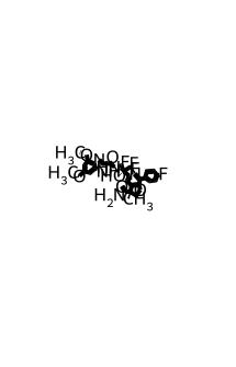 COc1cc(OC)c2nc(C(=O)NC[C@](O)(c3cc4c(c(-c5ccc(F)cc5)n3)OC[C@]4(C)C(N)=O)C(F)(F)F)[nH]c2c1